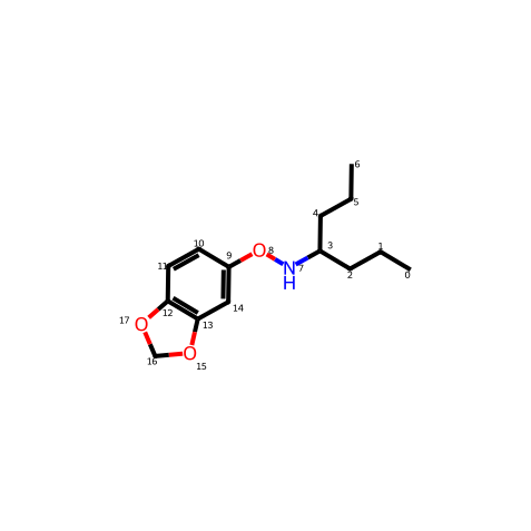 CCCC(CCC)NOc1ccc2c(c1)OCO2